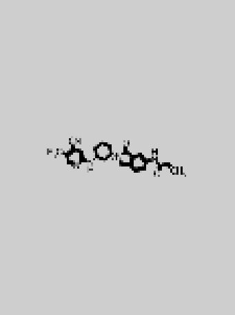 C=CC(=O)Nc1ccc2c(c1)C(=O)N([C@H]1CCC[C@@H](Nc3cc(C#N)c(C(F)(F)F)cn3)C1)C2